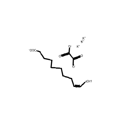 CCCCCCCC/C=C\CCCCCCCC(=O)[O-].O=C([O-])C(=O)[O-].[K+].[K+].[K+]